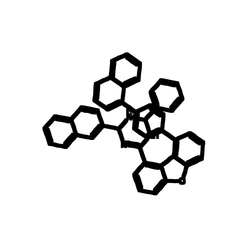 c1ccc(C2NC(c3cccc4oc5cccc(-c6ccc(-c7cccc8ccccc78)cc6)c5c34)=NC(c3ccc4ccccc4c3)N2)cc1